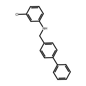 Clc1cccc(NCc2ccc(-c3ccccc3)cc2)c1